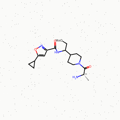 COCC(NC(=O)c1cc(C2CC2)on1)C1CCN(C(=O)[C@H](C)N)CC1